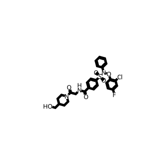 O=C(NCC(=O)N1CCC(CO)CC1)c1ccc(S(=O)(=O)N(Oc2ccc(F)cc2Cl)c2ccccc2)cc1